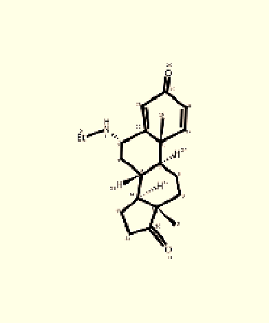 CCN[C@H]1C[C@@H]2[C@H](CC[C@]3(C)C(=O)CC[C@@H]23)[C@@]2(C)C=CC(=O)C=C12